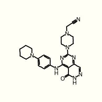 N#CCN1CCN(c2nc(Nc3ccc(N4CCCCC4)cc3)c3c(=O)[nH]ncc3n2)CC1